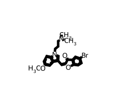 COc1ccc2c(c1)c(C=C1Oc3ccc(Br)cc3C1=O)cn2CCCN(C)C